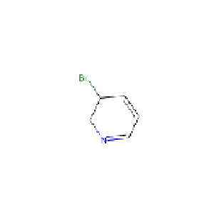 Br[C]1C=CC=NC1